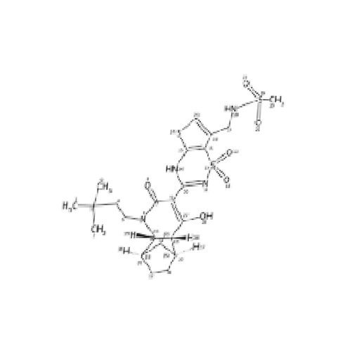 CC(C)(C)CCN1C(=O)C(C2=NS(=O)(=O)c3c(CNS(C)(=O)=O)csc3N2)=C(O)[C@@H]2[C@H]3CC[C@H](C3)[C@@H]21